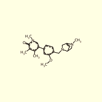 COc1cc(-c2cn(C)c(=O)c(C)c2C)ccc1CN1CC2=CC1CN2C